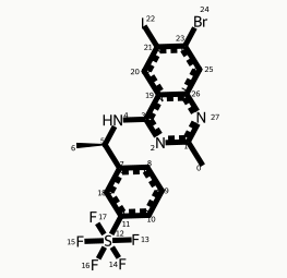 Cc1nc(N[C@H](C)c2cccc(S(F)(F)(F)(F)F)c2)c2cc(I)c(Br)cc2n1